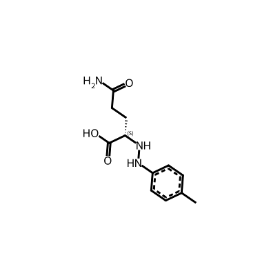 Cc1ccc(NN[C@@H](CCC(N)=O)C(=O)O)cc1